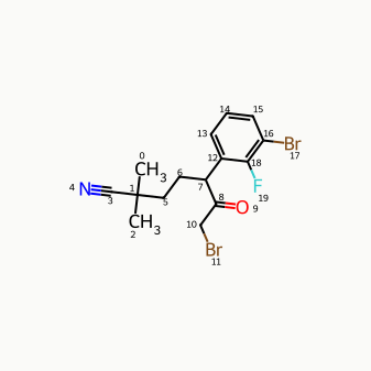 CC(C)(C#N)CCC(C(=O)CBr)c1cccc(Br)c1F